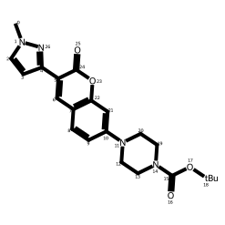 Cn1ccc(-c2cc3ccc(N4CCN(C(=O)OC(C)(C)C)CC4)cc3oc2=O)n1